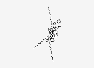 C=CCO[C@H]1O[C@H](CF)[C@@H](OP(=O)(c2ccccc2)c2ccccc2)[C@H](OC(=O)C[C@@H](CCCCCCCCCCC)OC(=O)CCCCCCCCCCCCC)[C@H]1NC(=O)C[C@@H](CCCCCCCCCCC)OCc1ccccc1